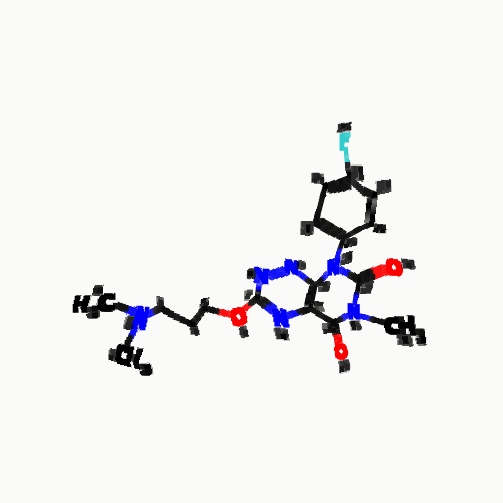 CN(C)CCCOc1nnc2c(n1)c(=O)n(C)c(=O)n2-c1ccc(F)cc1